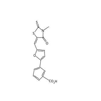 CN1C(=O)/C(=C\c2ccc(-c3cccc(C(=O)O)c3)o2)SC1=S